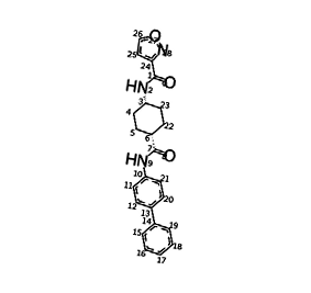 O=C(N[C@H]1CC[C@@H](C(=O)Nc2ccc(-c3ccccc3)cc2)CC1)c1ccon1